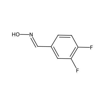 ON=Cc1ccc(F)c(F)c1